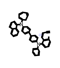 C#C/C=C\c1c(C)cccc1N(c1ccccc1)c1ccc(-c2ccc(N(C3=CC=CC#CC3)c3cccc4ccccc34)cc2)cc1